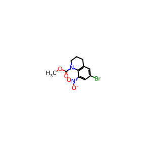 COC(=O)N1CCCc2cc(Br)cc([N+](=O)[O-])c21